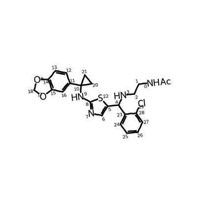 CC(=O)NCCNC(c1cnc(NC2(c3ccc4c(c3)OCO4)CC2)s1)c1ccccc1Cl